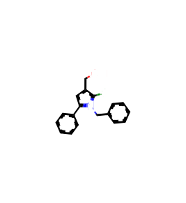 OCc1cc(-c2ccccc2)n(Cc2ccccc2)c1Cl